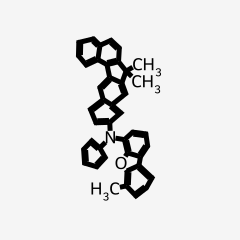 Cc1cccc2c1oc1c(N(c3ccccc3)c3ccc4cc5c(cc4c3)C(C)(C)c3ccc4ccccc4c3-5)cccc12